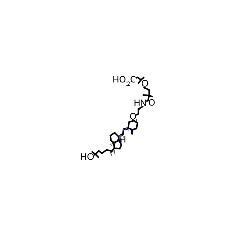 C=C1CC[C@H](OCCCNC(=O)C(C)(C)CCOC(C)(C)CC(=O)O)C/C1=C/C=C1\CCC[C@]2(C)C([C@H](C)CCCC(C)(C)O)CC[C@@H]12